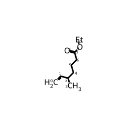 C=CC(C)CCCC(=O)OCC